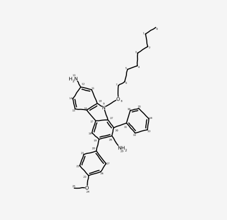 CCCCCCCCOn1c2cc(N)ccc2c2cc(-c3ccc(OC)cc3)c(N)c(-c3ccccc3)c21